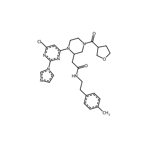 Cc1ccc(CCNC(=O)CC2CN(C(=O)C3CCOC3)CCN2c2cc(Cl)nc(-n3ccnc3)n2)cc1